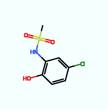 CS(=O)(=O)Nc1cc(Cl)ccc1O